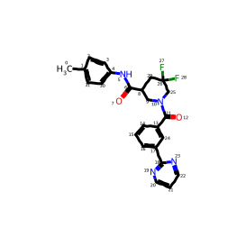 Cc1ccc(NC(=O)C2CN(C(=O)c3cccc(-c4ncccn4)c3)CC(F)(F)C2)cc1